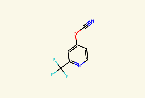 N#COc1ccnc(C(F)(F)F)c1